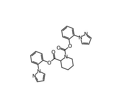 O=C(Oc1ccccc1-n1cccn1)C1CCCCN1C(=O)Oc1ccccc1-n1cccn1